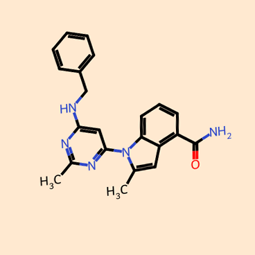 Cc1nc(NCc2ccccc2)cc(-n2c(C)cc3c(C(N)=O)cccc32)n1